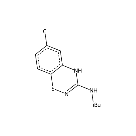 CCC(C)NC1=NSc2ccc(Cl)cc2N1